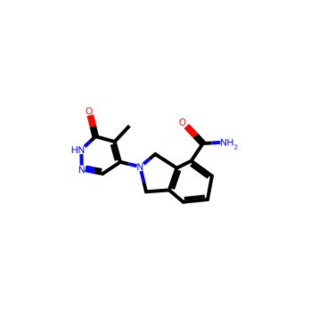 Cc1c(N2Cc3cccc(C(N)=O)c3C2)cn[nH]c1=O